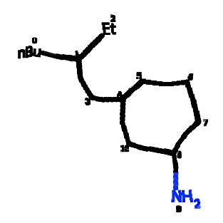 CCCCC(CC)CC1CCCC(N)C1